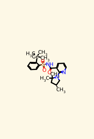 C[C@@H]1CN(c2ncccc2C(=O)NS(=O)(=O)c2cccc[c]2[Ge]([CH3])([CH3])[CH3])C(C)(C)C1